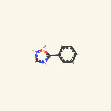 [c]1ccccc1-c1ncno1